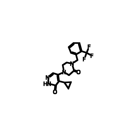 O=C1CN(c2cn[nH]c(=O)c2C2CC2)CCN1Cc1ccccc1C(F)(F)F